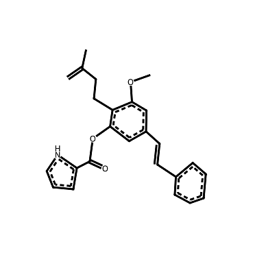 C=C(C)CCc1c(OC)cc(C=Cc2ccccc2)cc1OC(=O)c1ccc[nH]1